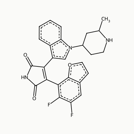 CC1CC(n2cc(C3=C(c4c(F)c(F)cc5ccoc45)C(=O)NC3=O)c3ccccc32)CCN1